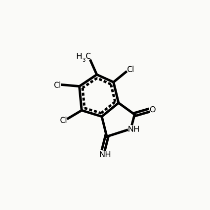 Cc1c(Cl)c(Cl)c2c(c1Cl)C(=O)NC2=N